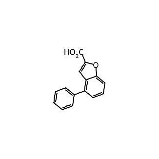 O=C(O)c1cc2c(-c3ccccc3)cccc2o1